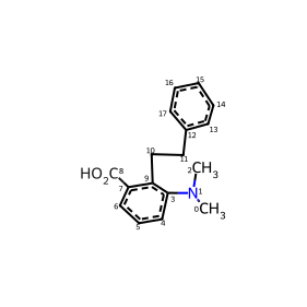 CN(C)c1cccc(C(=O)O)c1CCc1ccccc1